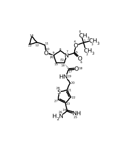 CC(C)(C)OC(=O)N1C[C@H](OCC2CC2)C[C@H]1C(=O)NCc1cc(C(=N)N)cs1